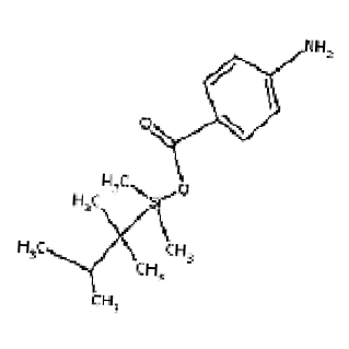 CC(C)C(C)(C)[Si](C)(C)OC(=O)c1ccc(N)cc1